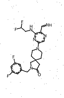 N=Cc1ncc(N2CCC3(CC2)CC(=O)N(Cc2cc(F)cc(F)c2)C3)nc1NCC(F)F